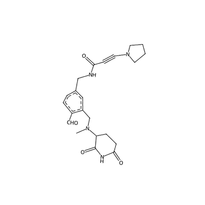 CN(Cc1cc(CNC(=O)C#CN2CCCC2)ccc1C=O)C1CCC(=O)NC1=O